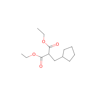 CCOC(=O)C(CC1CCCC1)C(=O)OCC